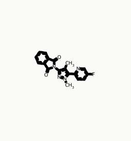 Cc1c(N2C(=O)c3ccccc3C2=O)nn(C)c1-c1ccc(F)cn1